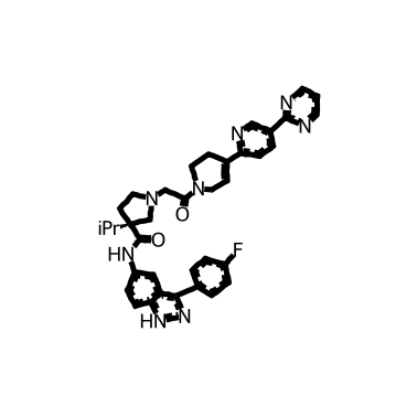 CC(C)[C@@]1(C(=O)Nc2ccc3[nH]nc(-c4ccc(F)cc4)c3c2)CCN(CC(=O)N2CC=C(c3ccc(-c4ncccn4)cn3)CC2)C1